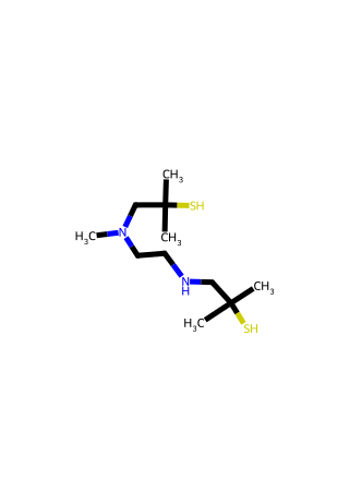 CN(CCNCC(C)(C)S)CC(C)(C)S